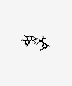 CC(=N)/C(=C(\Nc1nc2c(s1)SC(C)c1c(Cl)cc(Cl)cc1-2)C(=O)O)c1cc(Cl)cc(Cl)c1